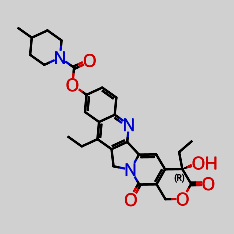 CCc1c2c(nc3ccc(OC(=O)N4CCC(C)CC4)cc13)-c1cc3c(c(=O)n1C2)COC(=O)[C@@]3(O)CC